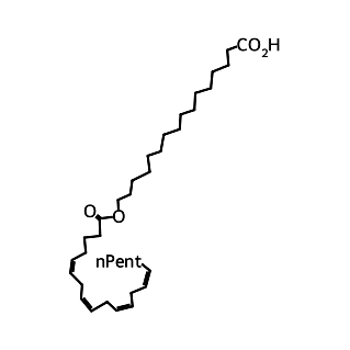 CCCCC/C=C\C/C=C\C/C=C\C/C=C\CCCC(=O)OCCCCCCCCCCCCCCCC(=O)O